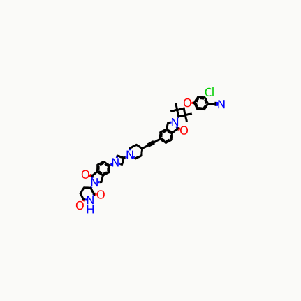 CC1(C)[C@H](Oc2ccc(C#N)c(Cl)c2)C(C)(C)[C@H]1N1Cc2cc(C#CC3CCN(C4CN(c5ccc6c(c5)CN(C5CCC(=O)NC5=O)C6=O)C4)CC3)ccc2C1=O